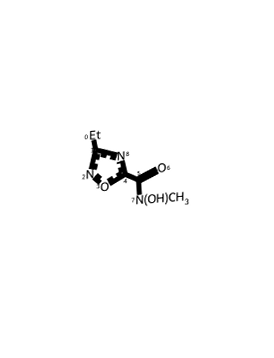 CCc1noc(C(=O)N(C)O)n1